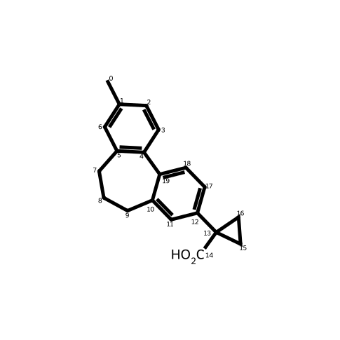 Cc1ccc2c(c1)CCCc1cc(C3(C(=O)O)CC3)ccc1-2